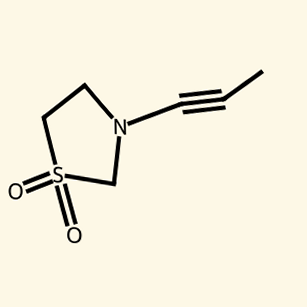 CC#CN1CCS(=O)(=O)C1